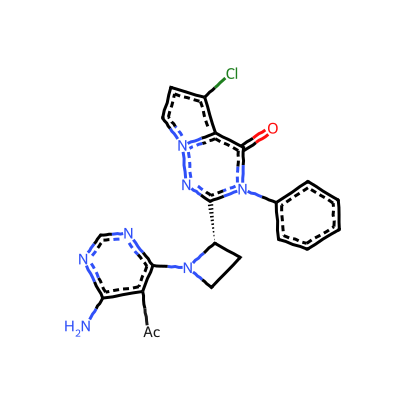 CC(=O)c1c(N)ncnc1N1CC[C@H]1c1nn2ccc(Cl)c2c(=O)n1-c1ccccc1